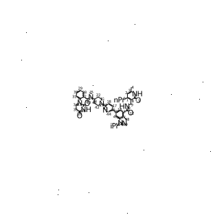 CCCc1cc(C)[nH]c(=O)c1CNC(=O)c1cc(-c2ccc(N3CCC(N(C)Cc4ccccc4N4CCC(=O)NC4=O)CC3)nc2)cc2c1cnn2C(C)C